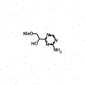 COCC(O)c1ncnc(N)n1